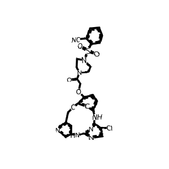 N#Cc1ccccc1S(=O)(=O)N1CCN(C(=O)COc2ccc3cc2CCc2cncc(c2)Nc2ncc(Cl)c(n2)N3)CC1